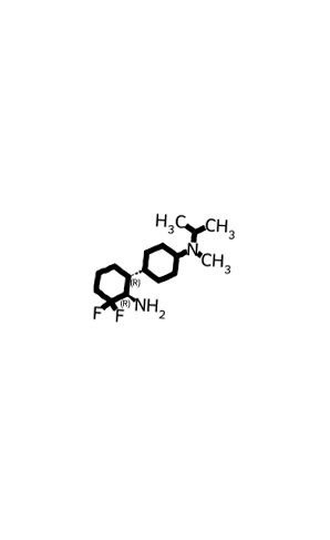 CC(C)N(C)C1CCC([C@H]2CCCC(F)(F)[C@@H]2N)CC1